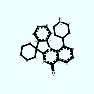 O=c1nc2n(c3c(C4CCNCC4)cccc13)-c1ccccc1C21CCCCC1